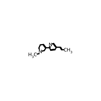 CC=Cc1ccc(C2=CCCN(CC)C2)nc1